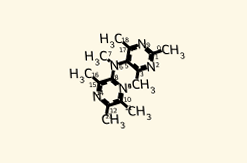 Cc1nc(C)c(N(C)c2nc(C)c(C)nc2C)c(C)n1